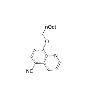 CCCCCCCCCOc1ccc(C#N)c2cccnc12